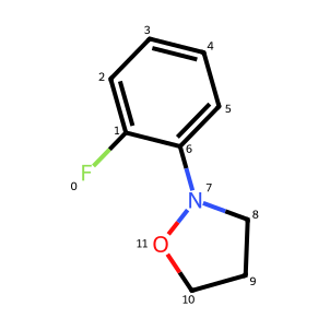 Fc1ccccc1N1CCCO1